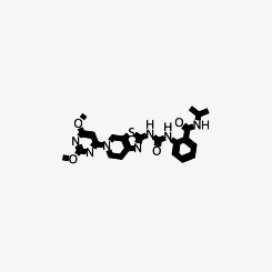 COc1cc(N2CCc3nc(NC(=O)Nc4ccccc4C(=O)NC(C)C)sc3C2)nc(OC)n1